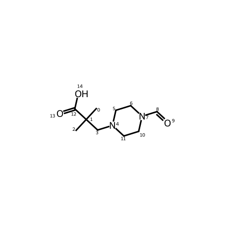 CC(C)(CN1CCN(C=O)CC1)C(=O)O